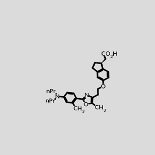 CCCN(CCC)c1ccc(-c2nc(CCOc3ccc4c(c3)CC[C@H]4CC(=O)O)c(C)o2)c(C)c1